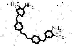 Cc1cc(Cc2ccc(CCCc3ccc(Cc4ccc(N)c(C)c4)cc3)cc2)ccc1N